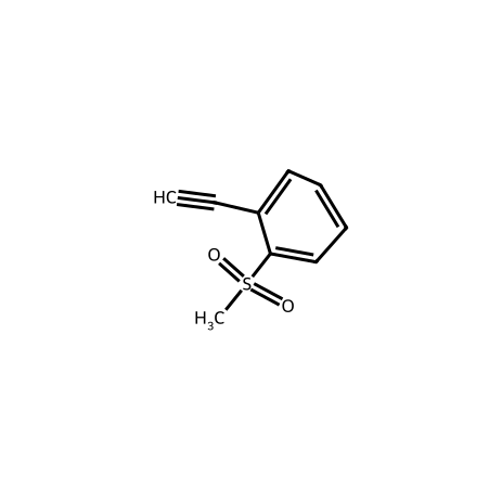 C#Cc1ccccc1S(C)(=O)=O